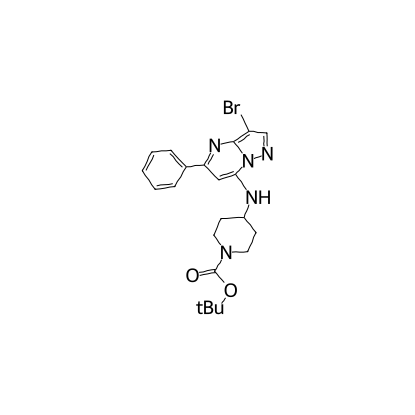 CC(C)(C)OC(=O)N1CCC(Nc2cc(-c3ccccc3)nc3c(Br)cnn23)CC1